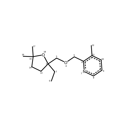 CCC1(COCc2ncccc2C)CCC(C)(C)O1